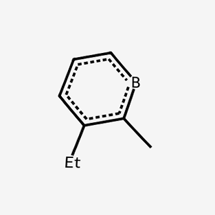 CCc1cccbc1C